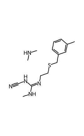 CNC.CNC(=NCCSCc1cccc(C)c1)NC#N